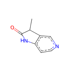 CC1C(=O)Nc2ccncc21